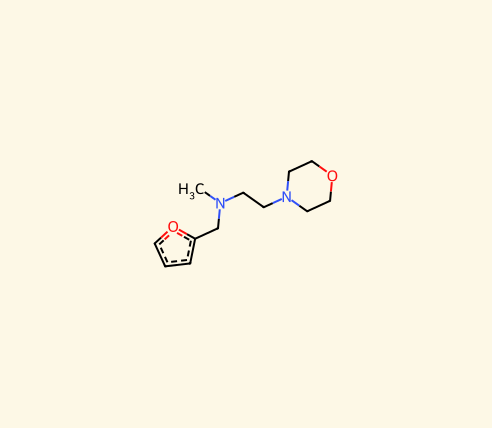 CN(CCN1CCOCC1)Cc1ccco1